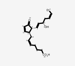 CC/C=C\C[C@H](O)/C=C/[C@H]1C(=O)C=C[C@@H]1C/C=C\CCCC(=O)O